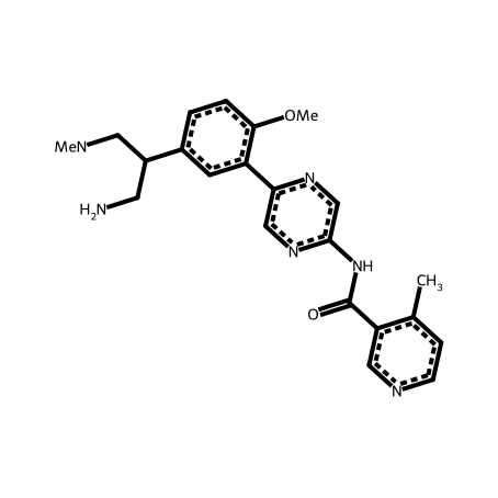 CNCC(CN)c1ccc(OC)c(-c2cnc(NC(=O)c3cnccc3C)cn2)c1